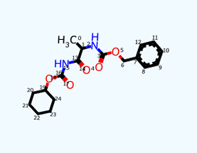 CC(NC(=O)OCc1ccccc1)C(=O)NC(=O)OC1CCCCC1